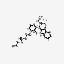 C[C@@H]1Cc2c([nH]c3ccccc23)C(c2nccc(OCCNCCCF)c2F)N1CC(F)(F)F